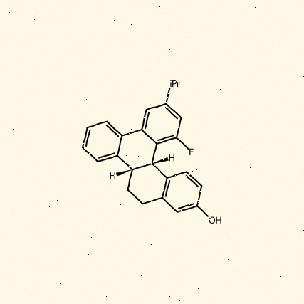 CC(C)c1cc(F)c2c(c1)-c1ccccc1[C@H]1CCc3cc(O)ccc3[C@@H]21